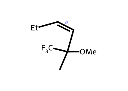 CC/C=C\C(C)(OC)C(F)(F)F